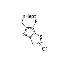 CCCCCCCCc1sc2c(c1F)S[S+]([O-])C2